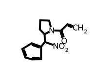 C=CC(=O)N1CCCC1C(c1ccccc1)[N+](=O)[O-]